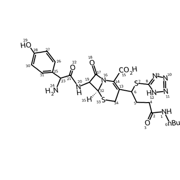 CCCCNC(=O)CCC(Sc1nnn[nH]1)C1=C(C(=O)O)N2C(=O)C(NC(=O)C(N)c3ccc(O)cc3)[C@@H]2SC1